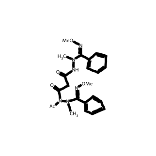 CON=C(c1ccccc1)N(C)NC(=O)CC(=O)N(C(C)=O)N(C)C(=NOC)c1ccccc1